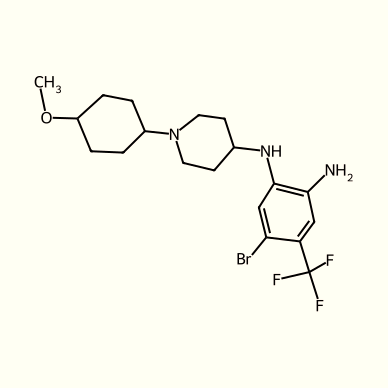 COC1CCC(N2CCC(Nc3cc(Br)c(C(F)(F)F)cc3N)CC2)CC1